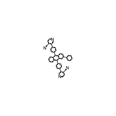 N#Cc1ccncc1-c1ccc(-c2c3ccccc3c(-c3ccc(-c4cnccc4C#N)cc3)c3cc(-c4ccccc4)ccc23)cc1